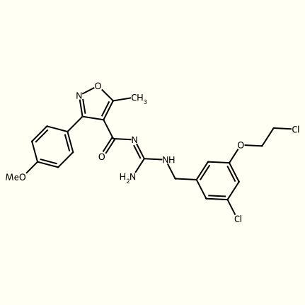 COc1ccc(-c2noc(C)c2C(=O)/N=C(\N)NCc2cc(Cl)cc(OCCCl)c2)cc1